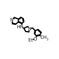 [CH2]COc1cc(CN2CC[C@@H](Nc3cccc4cnccc34)C2)ccc1C